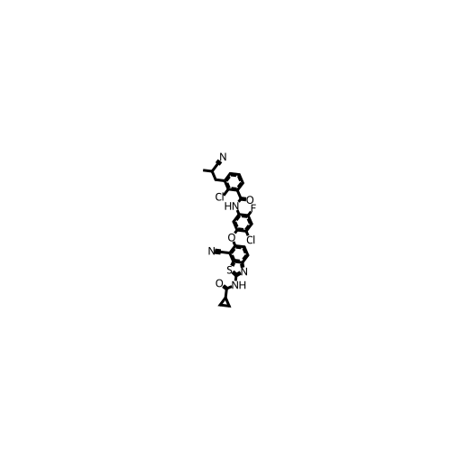 CC(C#N)Cc1cccc(C(=O)Nc2cc(Oc3ccc4nc(NC(=O)C5CC5)sc4c3C#N)c(Cl)cc2F)c1Cl